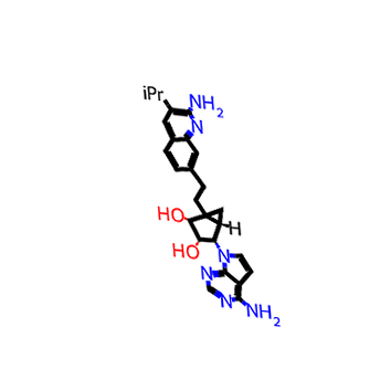 CC(C)c1cc2ccc(CCC34C[C@@H]3[C@@H](n3ccc5c(N)ncnc53)[C@H](O)[C@@H]4O)cc2nc1N